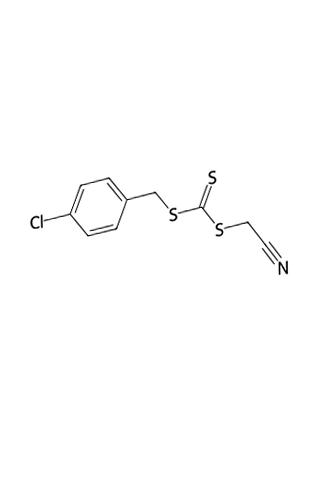 N#CCSC(=S)SCc1ccc(Cl)cc1